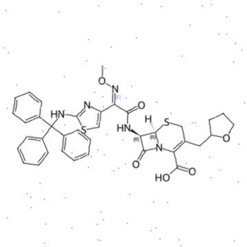 CO/N=C(/C(=O)N[C@@H]1C(=O)N2C(C(=O)O)=C(CC3CCCO3)CS[C@H]12)c1csc(NC(c2ccccc2)(c2ccccc2)c2ccccc2)n1